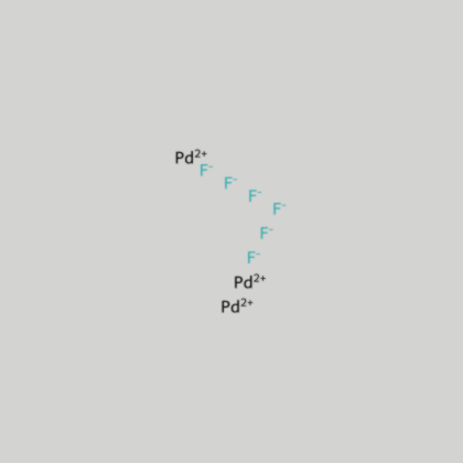 [F-].[F-].[F-].[F-].[F-].[F-].[Pd+2].[Pd+2].[Pd+2]